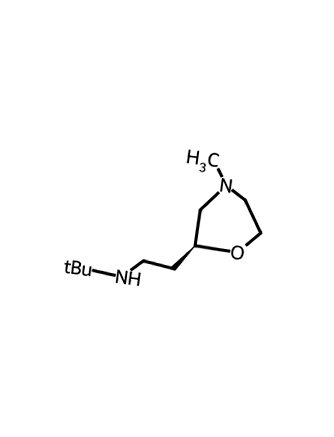 CN1CCO[C@@H](CCNC(C)(C)C)C1